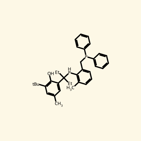 CCC(CC)(Pc1c(C)cccc1CP(c1ccccc1)c1ccccc1)c1cc(C)cc(C(C)(C)C)c1O